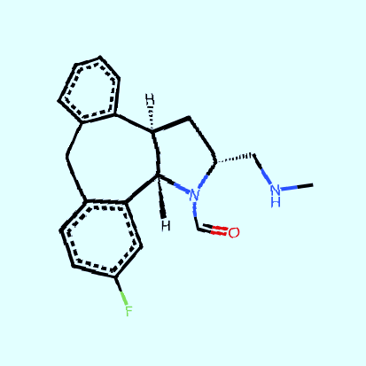 CNC[C@H]1C[C@@H]2c3ccccc3Cc3ccc(F)cc3[C@H]2N1C=O